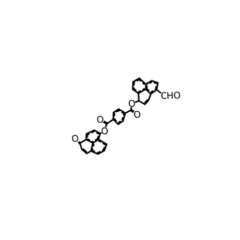 O=Cc1ccc2cccc3c2c1C=CC3OC(=O)c1ccc(C(=O)Oc2ccc3c4c(cccc24)C=CC3=O)cc1